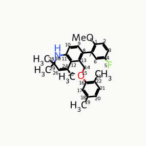 COc1ccc(F)cc1-c1ccc2c(c1COc1cc(C)ccc1C)C(C)=CC(C)(C)N2